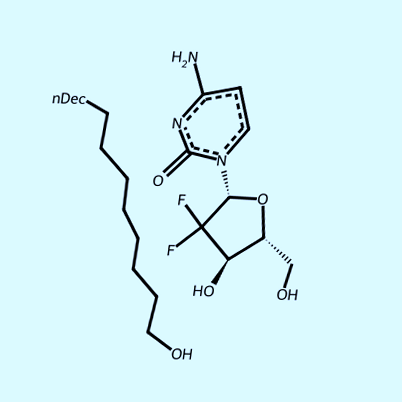 CCCCCCCCCCCCCCCCCCO.Nc1ccn([C@@H]2O[C@H](CO)[C@@H](O)C2(F)F)c(=O)n1